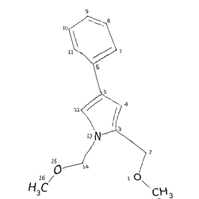 COCc1cc(-c2ccccc2)cn1COC